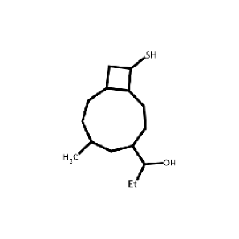 CCC(O)C1CCC2C(S)CC2CCC(C)C1